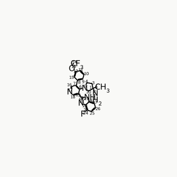 CC1(N)CCN(c2c(-c3cccc(OC(F)(F)F)c3)cncc2-c2nc3c(F)cccc3[nH]2)C1